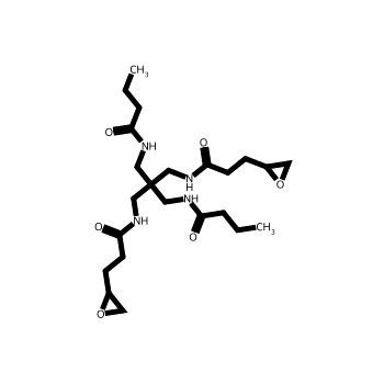 CCCC(=O)NCC(CNC(=O)CCC)(CNC(=O)CCC1CO1)CNC(=O)CCC1CO1